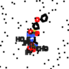 CC(C)OP(=O)(OC(C)C)N(C=O)CC(CNS(=O)(=O)c1ccc(Oc2ccccc2)cc1)NC(=O)O